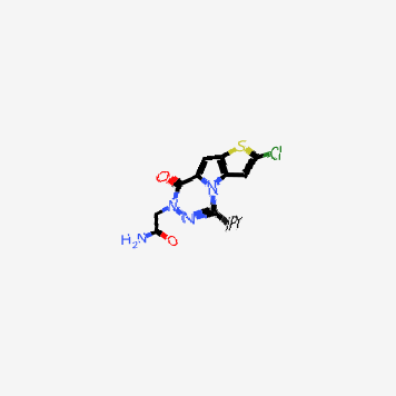 CC(C)c1nn(CC(N)=O)c(=O)c2cc3sc(Cl)cc3n12